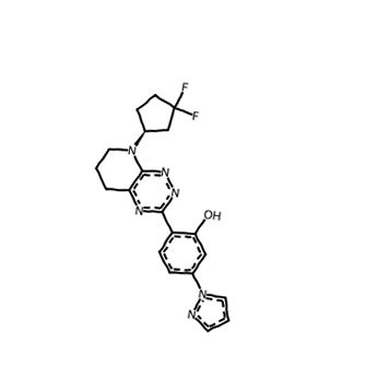 Oc1cc(-n2cccn2)ccc1-c1nnc2c(n1)CCCN2[C@H]1CCC(F)(F)C1